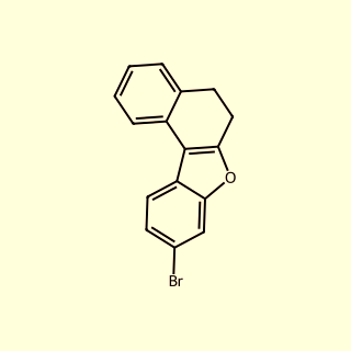 Brc1ccc2c3c(oc2c1)CCc1ccccc1-3